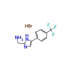 Br.NCc1ncc(-c2ccc(C(F)(F)F)cc2)[nH]1